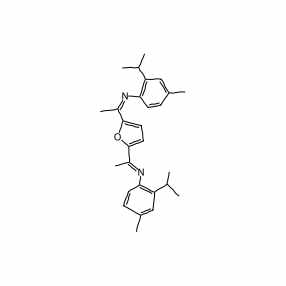 CC(=Nc1ccc(C)cc1C(C)C)c1ccc(C(C)=Nc2ccc(C)cc2C(C)C)o1